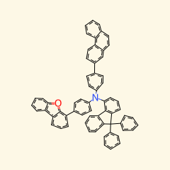 c1ccc(C2(c3ccccc3)c3ccccc3-c3c(N(c4ccc(-c5ccc6c(ccc7ccccc76)c5)cc4)c4ccc(-c5cccc6c5oc5ccccc56)cc4)cccc32)cc1